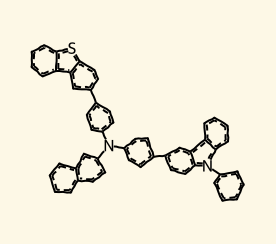 c1ccc(-n2c3ccccc3c3cc(-c4ccc(N(c5ccc(-c6ccc7sc8ccccc8c7c6)cc5)c5ccc6ccccc6c5)cc4)ccc32)cc1